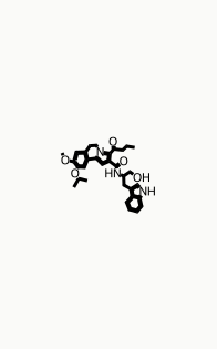 CCCC(=O)c1c(C(=O)NC(CO)Cc2c[nH]c3ccccc23)cc2n1CCc1cc(OC)c(OC(C)C)cc1-2